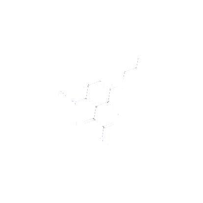 C=C(C(=O)NC)C1=C(NN)C(=O)C=C(SCCC)C1=O